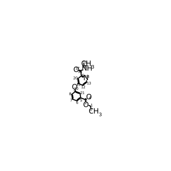 CCOC(=O)c1cccc(Oc2ccnc(C(=O)NC)c2)c1